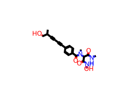 CNC(=O)C(C(=O)NO)N(C)C(=O)c1ccc(C#CC#CC(C)CO)cc1